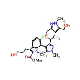 COC(=O)c1c(CCCO)c2ccc(Cl)c(-c3c(C(C)OCc4cc(CO)n(C)n4)nn(C)c3C)c2n1C